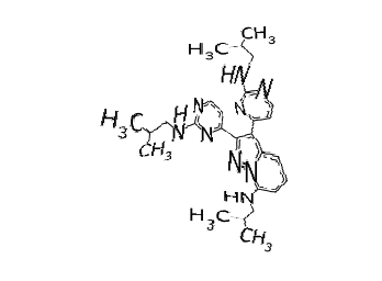 CC(C)CNc1nccc(-c2nn3c(NCC(C)C)cccc3c2-c2ccnc(NCC(C)C)n2)n1